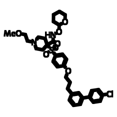 COCCN1CCC(C(=O)NOC2CCCCO2)(S(=O)(=O)c2ccc(OCCCc3cccc(-c4ccc(Cl)cc4)c3)cc2)CC1